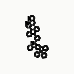 c1ccc(C2(c3ccccc3)c3ccccc3-c3cc4c(-c5cccc(-c6c7ccccc7c(-c7ccnc8c7ccc7cccnc78)c7ccccc67)c5)nc5ccccc5c4cc32)cc1